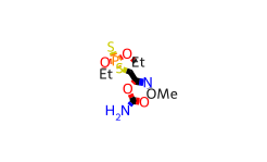 CCOP(=S)(OCC)SCC(=NOC)OC(N)=O